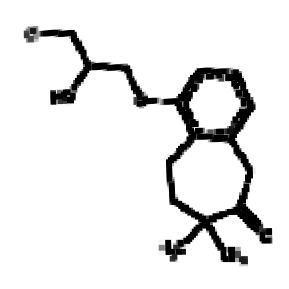 CC1(C)CCc2c(cccc2OCC(O)CCl)CC1=O